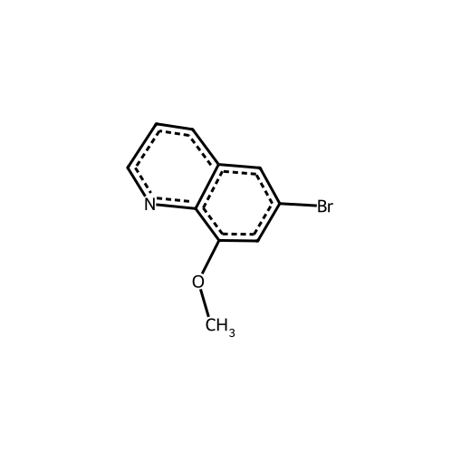 COc1cc(Br)cc2cccnc12